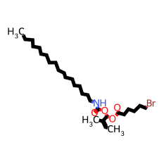 CC=C(C)C(OC(=O)CCCCCBr)OC(=O)NCCCCCCCCCCCCCCCCCC